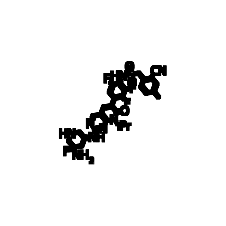 Cc1ccc(CS(=O)(=O)Nc2c(F)cc(-c3cc4cnc(N[C@@H]5CNC[C@@](N)(F)C5)nc4n(C(C)C)c3=O)c(F)c2F)c(C#N)c1